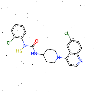 O=C(NC1CCN(c2ccnc3ccc(Cl)cc23)CC1)N(S)c1ccccc1Cl